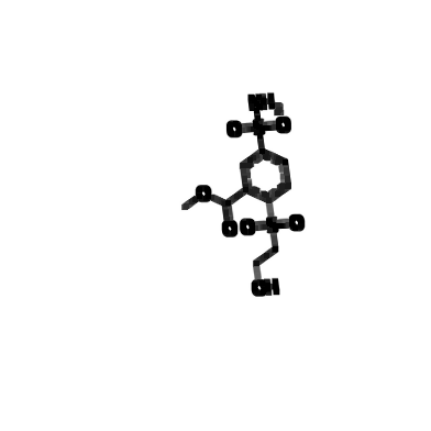 COC(=O)c1cc(S(N)(=O)=O)ccc1S(=O)(=O)CCO